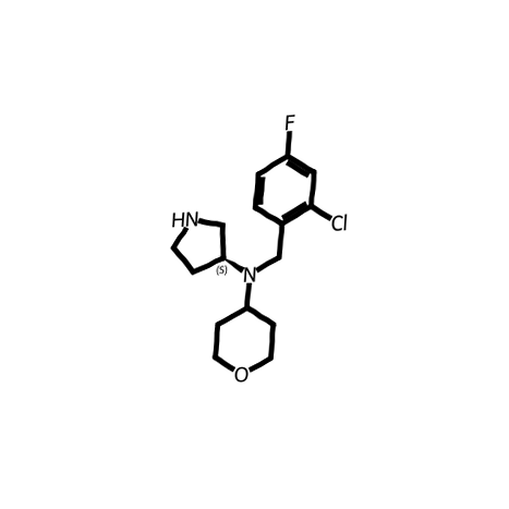 Fc1ccc(CN(C2CCOCC2)[C@H]2CCNC2)c(Cl)c1